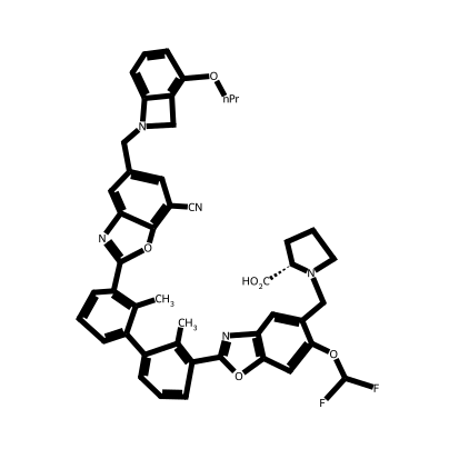 CCCOc1cccc2c1CN2Cc1cc(C#N)c2oc(-c3cccc(-c4cccc(-c5nc6cc(CN7CCC[C@H]7C(=O)O)c(OC(F)F)cc6o5)c4C)c3C)nc2c1